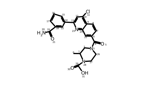 CC1CN(C(=O)c2ccc3c(Cl)cc(-c4cccc(C(N)=O)c4)nc3c2)CCN1C(=O)O